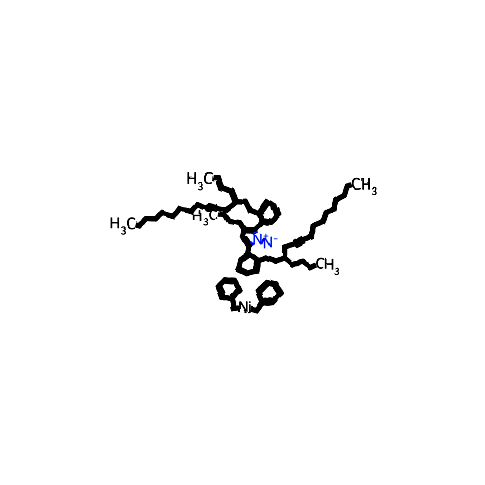 CCCCCCCCCC#CCC(CCCC)CCc1ccccc1C1=CC(CCCC)=C(c2ccccc2CCC(CC#CCCCCCCCCC)CCCC)[N+]1=[N-].c1ccc([CH2][Ni][CH2]c2ccccc2)cc1